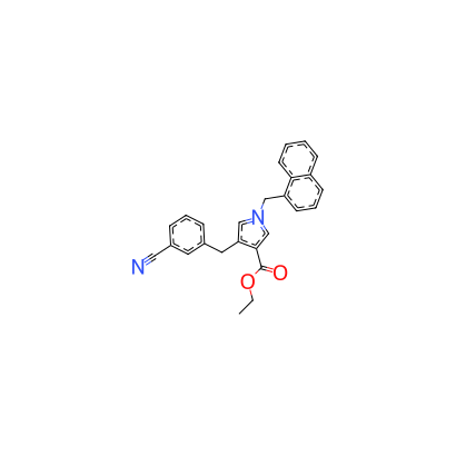 CCOC(=O)c1cn(Cc2cccc3ccccc23)cc1Cc1cccc(C#N)c1